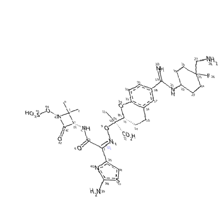 CC1(C)[C@H](NC(=O)/C(=N\O[C@](C)(C(=O)O)[C@H]2CCc3cc(C(=N)NC4CCC(F)(CN)CC4)ccc3O2)c2csc(N)n2)C(=O)N1OS(=O)(=O)O